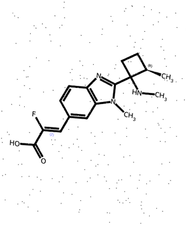 CNC1(c2nc3ccc(/C=C(\F)C(=O)O)cc3n2C)CC[C@H]1C